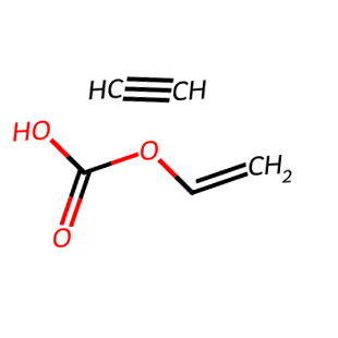 C#C.C=COC(=O)O